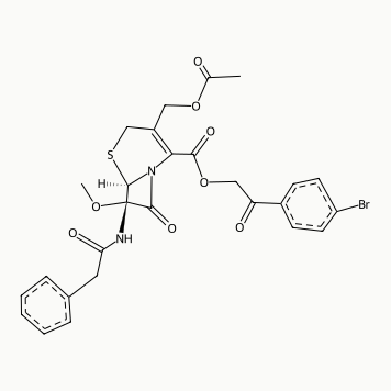 CO[C@@]1(NC(=O)Cc2ccccc2)C(=O)N2C(C(=O)OCC(=O)c3ccc(Br)cc3)=C(COC(C)=O)CS[C@@H]21